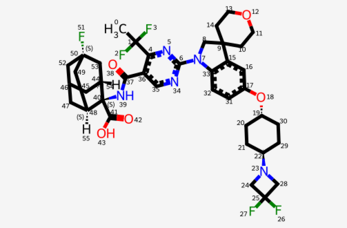 CC(F)(F)c1nc(N2CC3(CCOCC3)c3cc(O[C@H]4CC[C@H](N5CC(F)(F)C5)CC4)ccc32)ncc1C(=O)N[C@]1(C(=O)O)[C@@H]2CC3C[C@H]1C[C@@](F)(C3)C2